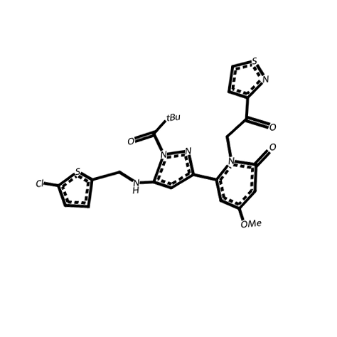 COc1cc(-c2cc(NCc3ccc(Cl)s3)n(C(=O)C(C)(C)C)n2)n(CC(=O)c2ccsn2)c(=O)c1